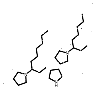 C1CCNC1.CCCCCC(CC)N1CCCC1.CCCCCCC(CC)N1CCCC1